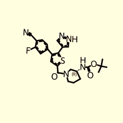 CC(C)(C)OC(=O)N[C@@H]1CCCN(C(=O)c2cc(-c3ccc(C#N)c(F)c3)c(-c3cn[nH]c3)s2)C1